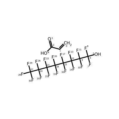 C=CC(=O)O.OC(F)(F)C(F)(F)C(F)(F)C(F)(F)C(F)(F)C(F)(F)C(F)(F)C(F)(F)F